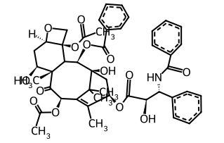 CC(=O)O[C@H]1C(=O)[C@@]2(C)C([C@@H](OC(=O)c3ccccc3)[C@]3(O)C[C@@H](OC(=O)[C@H](O)[C@H](NC(=O)c4ccccc4)c4ccccc4)C(C)=C1C3(C)C)[C@@]1(OC(C)=O)CO[C@@H]1C[C@@H]2O